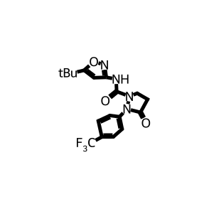 CC(C)(C)c1cc(NC(=O)N2CCC(=O)N2c2ccc(C(F)(F)F)cc2)no1